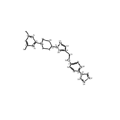 Cc1cc(C)nc(N2CCC(n3ncc(COc4ccc(-n5cnnn5)nc4)n3)CC2)n1